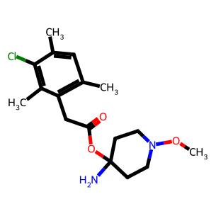 CON1CCC(N)(OC(=O)Cc2c(C)cc(C)c(Cl)c2C)CC1